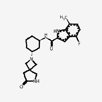 Cc1ccc(F)c2cc(C(=O)N[C@@H]3CCC[C@@H](N4CC5(CNC(=O)C5)C4)C3)[nH]c12